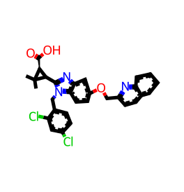 CC1(C)C(c2nc3cc(OCc4ccc5ccccc5n4)ccc3n2Cc2ccc(Cl)cc2Cl)[C@@H]1C(=O)O